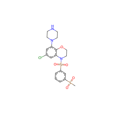 CS(=O)(=O)c1cccc(S(=O)(=O)N2CCOc3c(N4CCNCC4)cc(Cl)cc32)c1